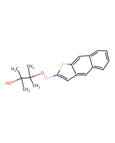 CC(C)(O)C(C)(C)OBc1cc2cc3ccccc3cc2s1